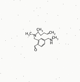 C=CCCC(C)N(C)Cc1cc(CNC)ccc1C=O